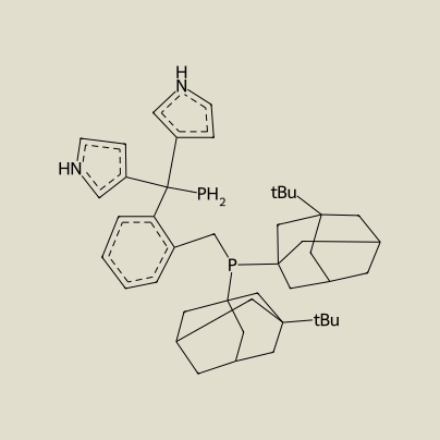 CC(C)(C)C12CC3CC(CC(P(Cc4ccccc4C(P)(c4cc[nH]c4)c4cc[nH]c4)C45CC6CC(C4)CC(C(C)(C)C)(C6)C5)(C3)C1)C2